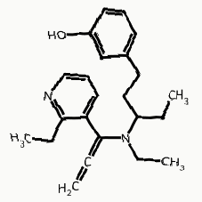 C=C=C(c1cccnc1CC)N(CC)C(CC)CCc1cccc(O)c1